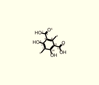 Cc1c(O)c(C(=O)O)c(C)c(C(=O)O)c1O